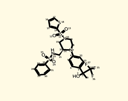 CC(O)(c1ccc(N2CCN(S(=O)(=O)c3cccs3)C[C@@H]2CNS(=O)(=O)c2ccccc2)cc1)C(F)(F)F